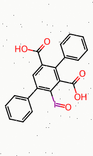 O=Ic1c(-c2ccccc2)cc(C(=O)O)c(-c2ccccc2)c1C(=O)O